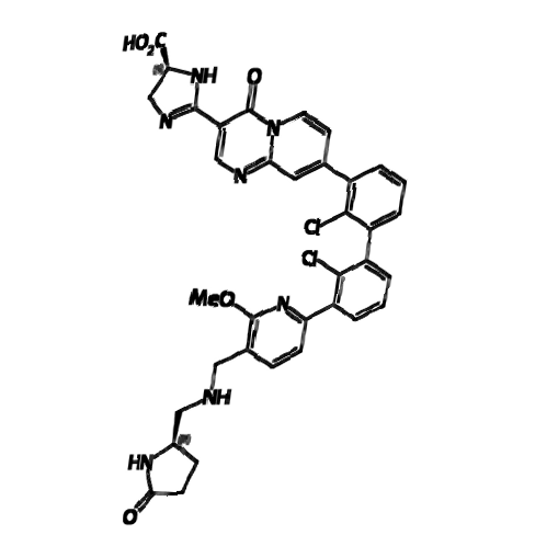 COc1nc(-c2cccc(-c3cccc(-c4ccn5c(=O)c(C6=NC[C@@H](C(=O)O)N6)cnc5c4)c3Cl)c2Cl)ccc1CNC[C@H]1CCC(=O)N1